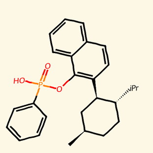 CC(C)[C@@H]1CC[C@@H](C)C[C@H]1c1ccc2ccccc2c1OP(=O)(O)c1ccccc1